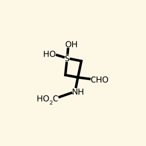 O=CC1(NC(=O)O)CS(O)(O)C1